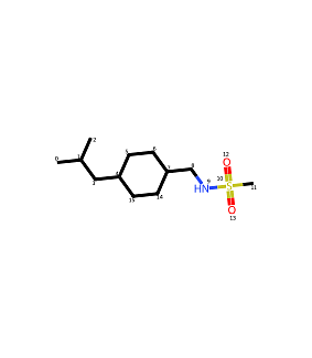 CC(C)CC1CCC(CNS(C)(=O)=O)CC1